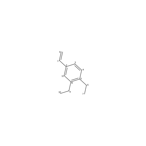 C=Cc1ccc(CC)c(CC)c1